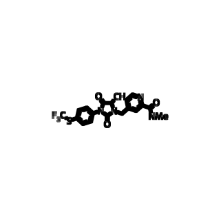 CNC(=O)c1cc(CN2C(=O)N(c3ccc(SC(F)(F)F)cc3)C(=O)C2C)ccn1